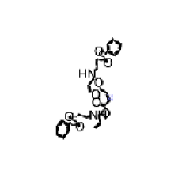 C=CC(NCCS(=O)(=O)c1ccccc1)OC(=O)/C=C\C(=O)OC(C=C)NCCS(=O)(=O)c1ccccc1